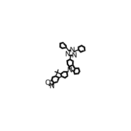 CC1(C)c2cc(-n3c4ccccc4c4cc(-c5nc(-c6ccccc6)nc(-c6ccccc6)n5)ccc43)ccc2-c2cc3ncoc3cc21